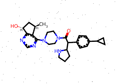 C[C@@H]1C[C@@H](O)c2ncnc(N3CCN(C(=O)C(c4ccc(C5CC5)cc4)C4CCCN4)CC3)c21